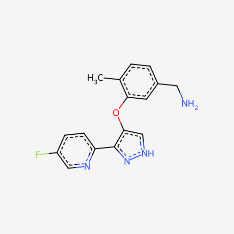 Cc1ccc(CN)cc1Oc1c[nH]nc1-c1ccc(F)cn1